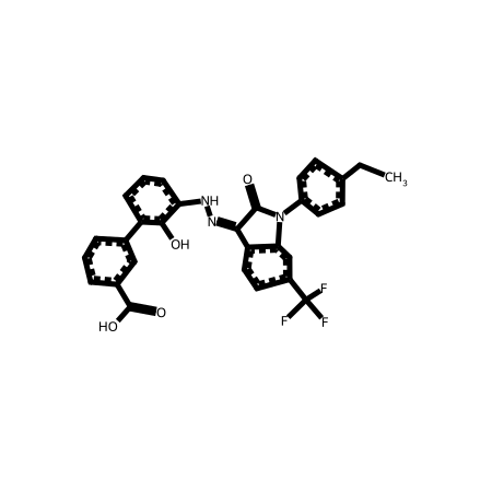 CCc1ccc(N2C(=O)C(=NNc3cccc(-c4cccc(C(=O)O)c4)c3O)c3ccc(C(F)(F)F)cc32)cc1